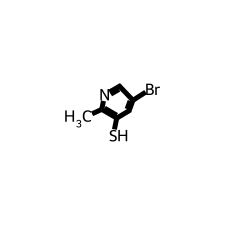 Cc1ncc(Br)cc1S